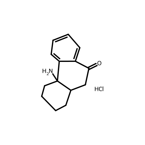 Cl.NC12CCCCC1CC(=O)c1ccccc12